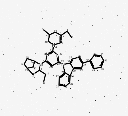 CCC1=CN(c2nc(N3C(CC)CC4CCC3C4)cc(-n3c4ccccc4c4cc(-c5ccccc5)ccc43)n2)CC(C)C1